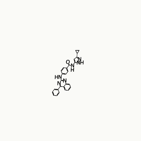 O=C(Nc1cc(C2CC2)n[nH]1)c1ccc(Nc2nc(-c3ccccc3)c3ccccc3n2)cc1